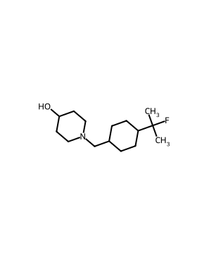 CC(C)(F)C1CCC(CN2CCC(O)CC2)CC1